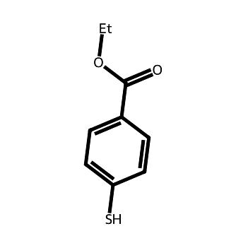 CCOC(=O)c1ccc(S)cc1